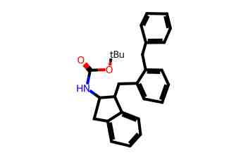 CC(C)(C)OC(=O)NC1Cc2ccccc2C1Cc1ccccc1Cc1ccccc1